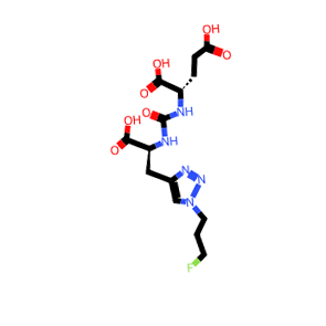 O=C(O)CC[C@H](NC(=O)N[C@@H](Cc1cn(CCCF)nn1)C(=O)O)C(=O)O